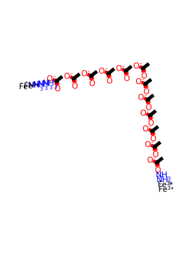 CC(=O)[O-].CC(=O)[O-].CC(=O)[O-].CC(=O)[O-].CC(=O)[O-].CC(=O)[O-].CC(=O)[O-].CC(=O)[O-].CC(=O)[O-].CC(=O)[O-].CC(=O)[O-].CC(=O)[O-].N.N.N.N.N.N.[Fe+3].[Fe+3].[Fe+3].[Fe+3]